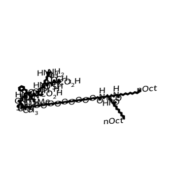 CCCCCCCC/C=C\CCCCCCCC(=O)NCCN(CCNC(=O)CCCCCCC/C=C\CCCCCCCC)CCNC(=O)CCOCCOCCOCCOCCOCCOCCOCCOCCOCCC(=O)NC(C)C(=O)NC(CS)C(=O)NCC(=O)NC(Cc1ccccc1)C(=O)NC(CCSC)C(=O)NC(CC(=O)O)C(=O)NCC(=O)NC(CCCNC(=N)N)C(=O)NC(CS)C(=O)NC(C)C(=O)O